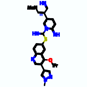 CN/C=C(\C=N)c1ccc(=N)n(C(=N)Sc2ccc3ncc(-c4cnn(C)c4)c(OC(C)C)c3c2)c1